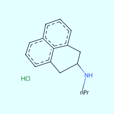 CCCNC1Cc2cccc3cccc(c23)C1.Cl